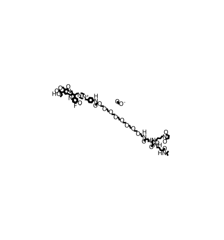 CC[C@@]1(O)C(=O)OCc2c1cc1n(c2=O)Cc2c-1nc1cc(F)c(OC)cc1c2CN1CC[N+](C)(Cc2ccc(NC(=O)OCCOCCOCCOCCOCCOCCOCCOCCNC(=O)CC[C@H](NC(=O)CCCN3C(=O)C=CC3=O)C(=O)NCCCC(=O)NC(C)C)cc2)CC1.O=C[O-]